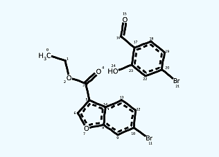 CCOC(=O)c1coc2cc(Br)ccc12.O=Cc1ccc(Br)cc1O